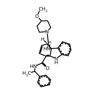 COC1CCN(N2CNC34C(=C(C(=O)NC(C)c5ccccc5)C=C[C@@H]23)Nc2ccccc24)CC1